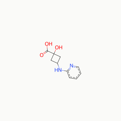 O=C(O)C1(O)CC(Nc2ccccn2)C1